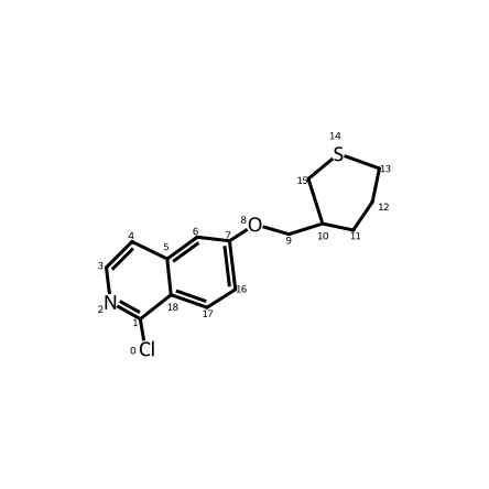 Clc1nccc2cc(OCC3CCCSC3)ccc12